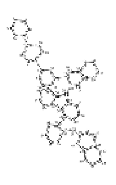 c1ccc(-c2ccc(-c3cccc(-c4nc5ccccc5nc4-n4c5ccccc5c5c6c7ccccc7n(-c7cnc8ccccc8n7)c6ccc54)c3)cc2)cc1